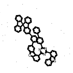 c1ccc(-c2ccc(-c3nc(-c4cccc5oc6ccc(-c7cccc(-c8ccc9c(c8)-c8ccccc8C98c9ccccc9-c9ccccc98)c7)cc6c45)nc(-c4cccc5sc6ccccc6c45)n3)cc2)cc1